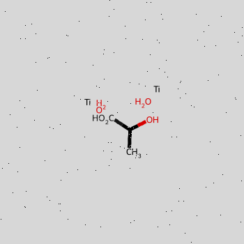 CC(O)C(=O)O.O.O.[Ti].[Ti]